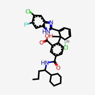 CCCC(NC(=O)c1ccc(C2(C)C(c3nc4cc(Cl)c(F)cc4[nH]3)=CC=C[C@@H]2Cl)c(C(=O)O)c1)C1CCCCC1